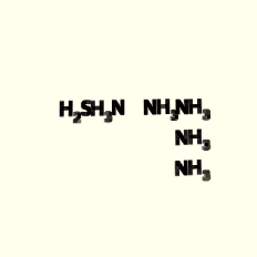 N.N.N.N.N.S